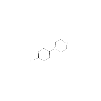 CCC1CCC(N2CCNCC2)CC1